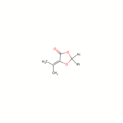 CC(=O)C1(C(C)C)OC(=O)C(=C(C)C)O1